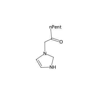 CCCCCC(=O)CN1C=CNC1